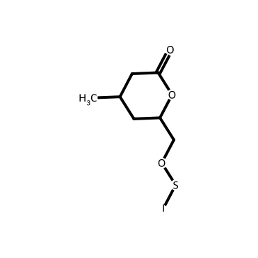 CC1CC(=O)OC(COSI)C1